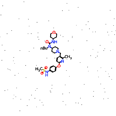 CCCCN(C(=O)NC1CCOCC1)C1CCN(Cc2ccc(Oc3ccc(NS(C)(=O)=O)cc3)nc2C)CC1